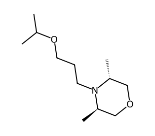 CC(C)OCCCN1[C@H](C)COC[C@H]1C